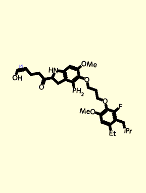 CCc1cc(OC)c(OCCCOc2c(OC)cc3c(c2P)CC(C(=O)CC/C=C\O)N3)c(F)c1CC(C)C